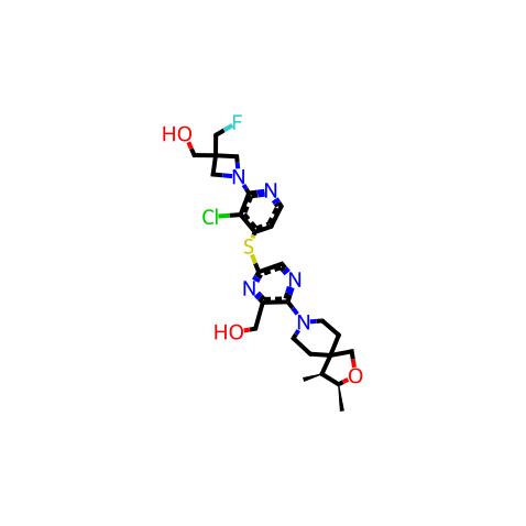 C[C@@H]1OCC2(CCN(c3ncc(Sc4ccnc(N5CC(CO)(CF)C5)c4Cl)nc3CO)CC2)[C@@H]1C